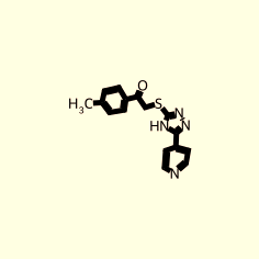 Cc1ccc(C(=O)CSc2nnc(-c3ccncc3)[nH]2)cc1